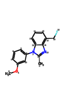 COc1cccc(-n2c(C)nc3c(CF)cccc32)c1